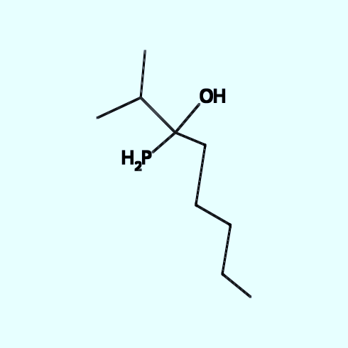 CCCCCC(O)(P)C(C)C